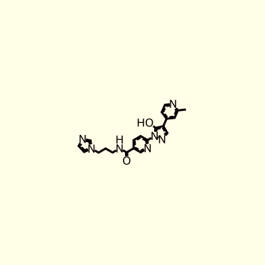 Cc1cc(-c2cnn(-c3ccc(C(=O)NCCCn4ccnc4)cn3)c2O)ccn1